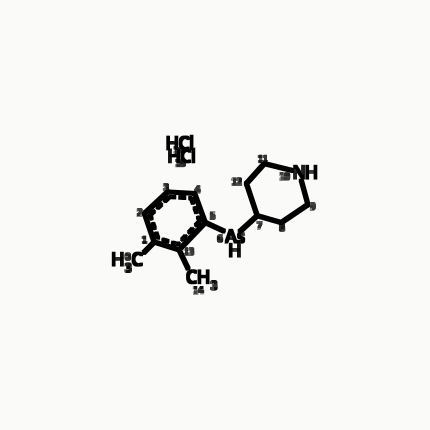 Cc1cccc([AsH]C2CCNCC2)c1C.Cl.Cl